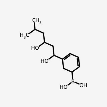 CC(C)CC(O)CC(O)C1=CC=CC(B(O)O)C1